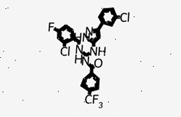 O=C(/N=C(/NCc1ccc(F)cc1Cl)Nc1cc(-c2cccc(Cl)c2)n[nH]1)c1ccc(C(F)(F)F)cc1